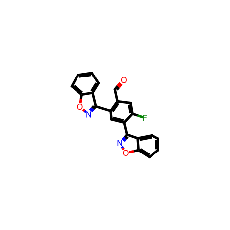 O=Cc1cc(F)c(-c2noc3ccccc23)cc1-c1noc2ccccc12